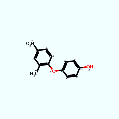 Cc1cc([N+](=O)[O-])ccc1Oc1ccc(O)cc1